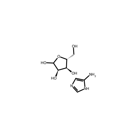 Nc1cnc[nH]1.OC[C@H]1OC(O)[C@H](O)[C@@H]1O